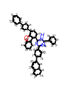 c1ccc(-c2ccc(-c3ccc(C4=NC(c5ccc(-c6ccc7ccccc7c6)cc5)=NC(c5ccccc5)N4)c4c3oc3ccccc34)cc2)cc1